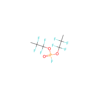 CC(F)(F)C(F)(F)OP(=O)(F)OC(F)(F)C(C)(F)F